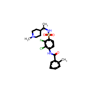 Cc1ccccc1C(=O)Nc1ccc(S(=O)(=O)N[C@H](C)C2CCN(C)CC2)c(F)c1Cl